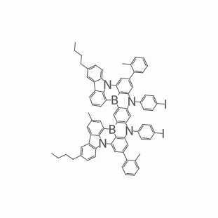 CCCCc1ccc2c(c1)c1cccc3c1n2-c1cc(-c2ccccc2C)cc2c1B3c1cc3c(cc1N2c1ccc(I)cc1)N(c1ccc(I)cc1)c1cc(-c2ccccc2C)cc2c1B3c1cc(C)cc3c4cc(CCCC)ccc4n-2c13